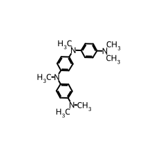 CN(C)c1ccc(N(C)c2ccc(N(C)c3ccc(N(C)C)cc3)cc2)cc1